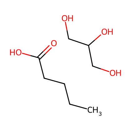 CCCCC(=O)O.OCC(O)CO